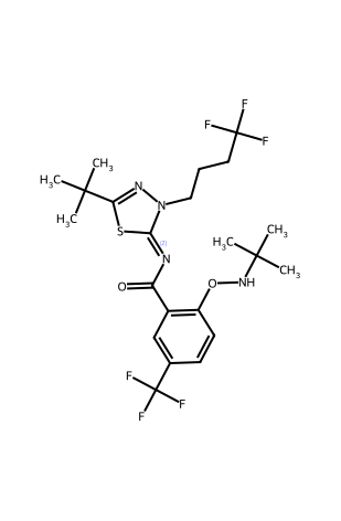 CC(C)(C)NOc1ccc(C(F)(F)F)cc1C(=O)/N=c1\sc(C(C)(C)C)nn1CCCC(F)(F)F